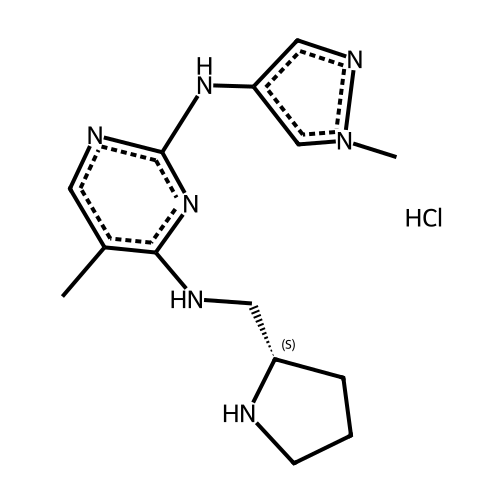 Cc1cnc(Nc2cnn(C)c2)nc1NC[C@@H]1CCCN1.Cl